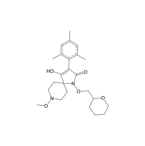 CON1CCC2(CC1)C(O)=C(c1c(C)cc(C)cc1C)C(=O)N2OCC1CCCCO1